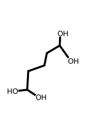 OC(O)CCCC(O)O